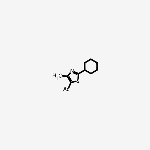 CC(=O)c1sc(C2CCCCC2)nc1C